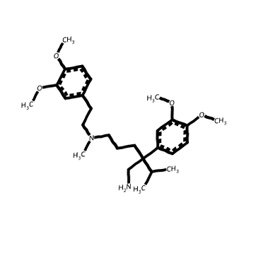 COc1ccc(CCN(C)CCCC(CN)(c2ccc(OC)c(OC)c2)C(C)C)cc1OC